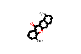 COc1cccc2c(=O)c3cc4c(C(F)(F)F)cccc4cc3oc12